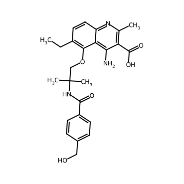 CCc1ccc2nc(C)c(C(=O)O)c(N)c2c1OCC(C)(C)NC(=O)c1ccc(CO)cc1